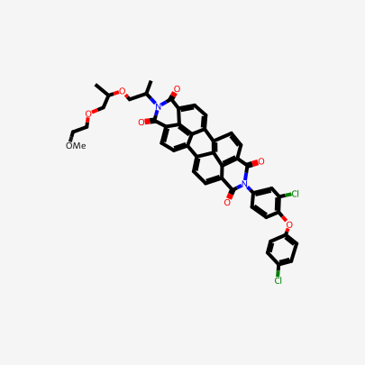 COCCOCC(C)OCC(C)N1C(=O)c2ccc3c4ccc5c6c(ccc(c7ccc(c2c37)C1=O)c64)C(=O)N(c1ccc(Oc2ccc(Cl)cc2)c(Cl)c1)C5=O